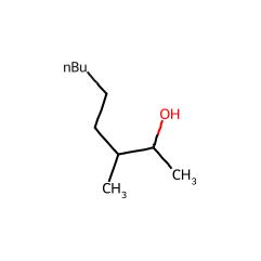 CCCCCCC(C)[C](C)O